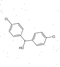 OP(c1ccc(Cl)cc1)c1ccc(Cl)cc1